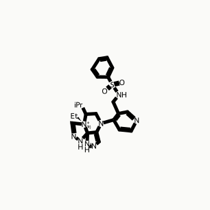 CC[N@@+]12C=NNC13NC=NC=C3N(c1ccncc1CNS(=O)(=O)c1ccccc1)CC2C(C)C